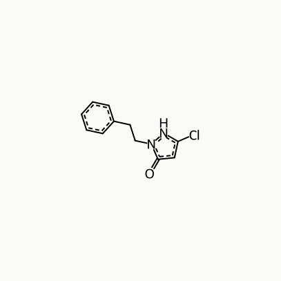 O=c1cc(Cl)[nH]n1CCc1ccccc1